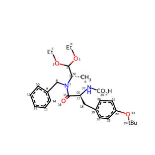 CCOC(OCC)[C@H](C)N(Cc1ccccc1)C(=O)[C@H](Cc1ccc(OC(C)(C)C)cc1)NC(=O)O